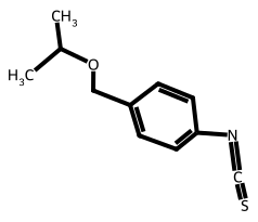 CC(C)OCc1ccc(N=C=S)cc1